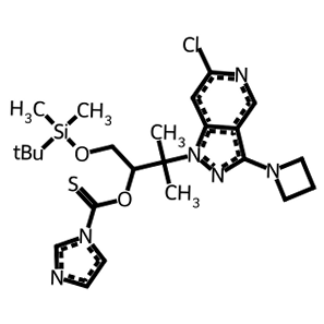 CC(C)(C(CO[Si](C)(C)C(C)(C)C)OC(=S)n1ccnc1)n1nc(N2CCC2)c2cnc(Cl)cc21